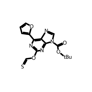 CC(C)(C)OC(=O)n1cnc2c(-c3ccco3)nc(OC=S)nc21